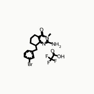 Cn1c(N)nc2c(c1=O)CCCC2Cc1cccc(Br)c1.O=C(O)C(F)(F)F